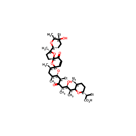 CCC(C(=O)O)[C@H]1CC[C@H](C)C([C@@H](C)[C@H](O)[C@H](C)C(=O)[C@H](CC)[C@H]2O[C@]3(C=CC(=O)[C@]4(CC[C@@](C)([C@H]5CC[C@](O)(CC)[C@H](C)O5)O4)O3)[C@H](C)C[C@@H]2C)O1